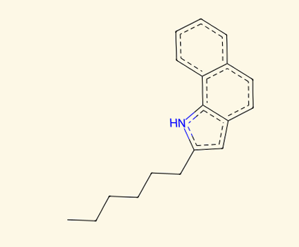 CCCCCCc1cc2ccc3ccccc3c2[nH]1